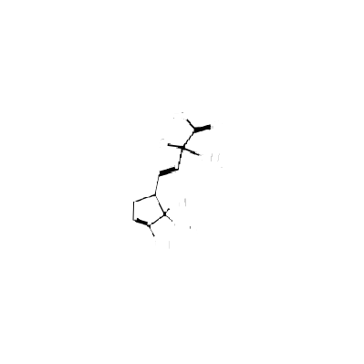 CCC(=O)C(C)(C)C=CC1CC=C(C)C1(C)C